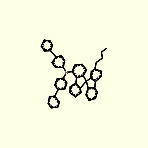 CCCCc1ccc2c(c1)C1(c3ccccc3-2)c2ccccc2-c2c(N(c3ccc(-c4ccccc4)cc3)c3ccc(-c4ccccc4)cc3)cccc21